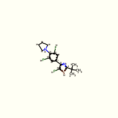 CC(C)(C)c1nc(-c2cc(F)c(N3CCCC3)c(F)c2)c(F)s1